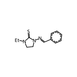 CCN1CCN(N=Cc2ccccc2)C1=S